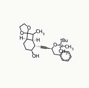 CC1[C@H]2[C@H](C#C[C@H](Cc3ccccc3)O[Si](C)(C)C(C)(C)C)[C@@H](O)CC[C@H]2C12OCCO2